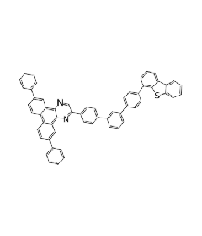 c1ccc(-c2ccc3c4ccc(-c5ccccc5)cc4c4nc(-c5ccc(-c6cccc(-c7ccc(-c8cccc9c8sc8ccccc89)cc7)c6)cc5)cnc4c3c2)cc1